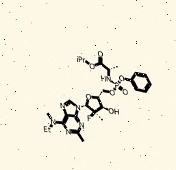 CCN(C)c1nc(C)nc2c1ncn2[C@@H]1O[C@H](CO[P@](=O)(N[C@@H](C)C(=O)OC(C)C)Oc2ccccc2)[C@@H](O)[C@@]1(C)F